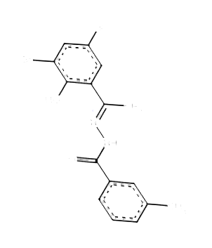 C/C(=N\NC(=O)c1cccc(C)c1)c1cc(Br)cc(Br)c1O